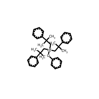 CC(C)([CH2][Hf]([CH2]C(C)(C)c1ccccc1)([CH2]C(C)(C)c1ccccc1)[O]c1ccccc1)c1ccccc1